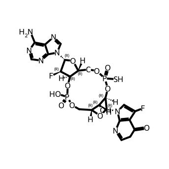 Nc1ncnc2c1ncn2[C@@H]1O[C@@H]2COP(=O)(S)O[C@@H]3[C@H](O)[C@@H](COP(=O)(O)O[C@H]2[C@H]1F)O[C@H]3n1cc(F)c2c1N=CCC2=O